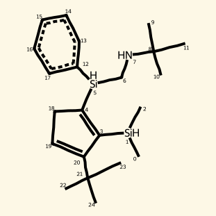 C[SiH](C)C1=C([SiH](CNC(C)(C)C)c2ccccc2)CC=C1C(C)(C)C